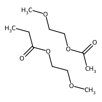 CCC(=O)OCCOC.COCCOC(C)=O